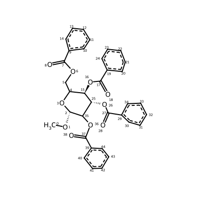 CO[C@@H]1OC(COC(=O)c2ccccc2)[C@@H](OC(=O)c2ccccc2)[C@H](OC(=O)c2ccccc2)C1OC(=O)c1ccccc1